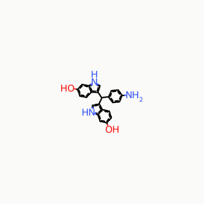 Nc1ccc(C(c2c[nH]c3cc(O)ccc23)c2c[nH]c3cc(O)ccc23)cc1